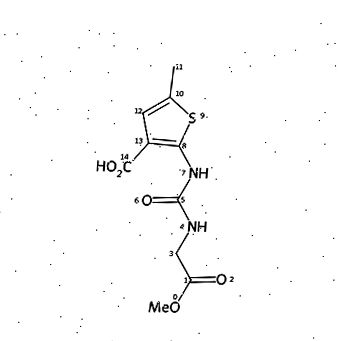 COC(=O)CNC(=O)Nc1sc(C)cc1C(=O)O